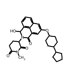 CN1C(=O)CCC(N2C(=O)c3cc(OC4CCC(C5CCCC5)CC4)cc4cccc(c34)C2O)C1=O